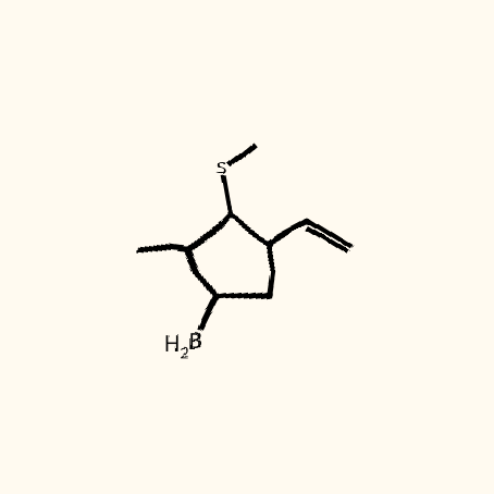 BC1CC(C=C)C(SC)C1C